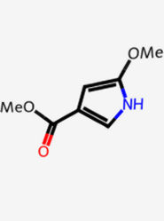 COC(=O)c1c[nH]c(OC)c1